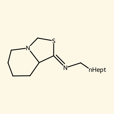 CCCCCCCCN=C1SCN2CCCCC12